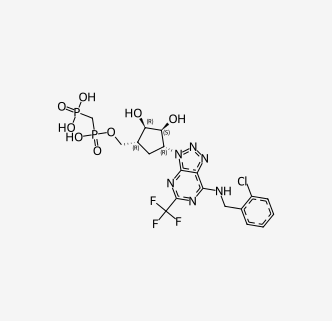 O=P(O)(O)CP(=O)(O)OC[C@H]1C[C@@H](n2nnc3c(NCc4ccccc4Cl)nc(C(F)(F)F)nc32)[C@H](O)[C@@H]1O